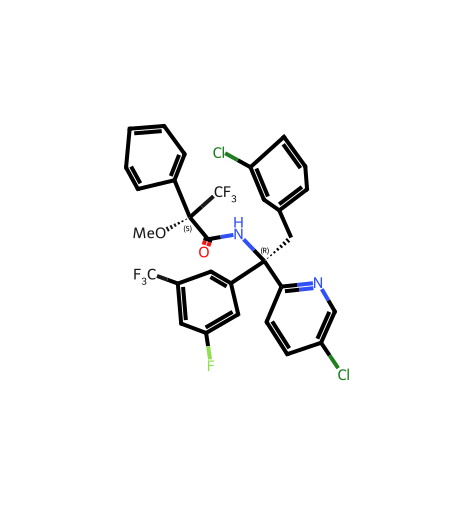 CO[C@](C(=O)N[C@](Cc1cccc(Cl)c1)(c1cc(F)cc(C(F)(F)F)c1)c1ccc(Cl)cn1)(c1ccccc1)C(F)(F)F